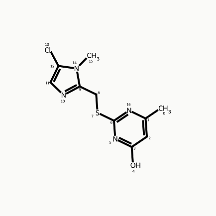 Cc1cc(O)nc(SCc2ncc(Cl)n2C)n1